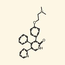 CN(C)CCOc1ccc(-c2c(-c3ccccc3)c(-c3ccccn3)c[nH]c2=O)cc1